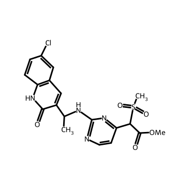 COC(=O)C(c1ccnc(NC(C)c2cc3cc(Cl)ccc3[nH]c2=O)n1)S(C)(=O)=O